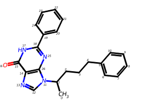 CC(CCCc1ccccc1)n1cnc2c(=O)[nH]c(-c3ccccc3)nc21